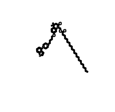 CCCCCCCCCCCCCCCCCCCCCCC(=O)OCN1C(=O)CC(C)(C)c2ccc(OCCCCN3CCN(c4cccc5sccc45)CC3)cc21